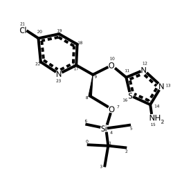 CC(C)(C)[Si](C)(C)OC[C@H](Oc1nnc(N)s1)c1ccc(Cl)cn1